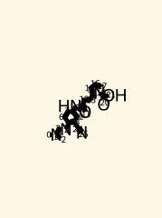 CN(C)/C=N/c1ccc(NC(=O)/C=C/c2cccn2C(=O)O)cc1C#N